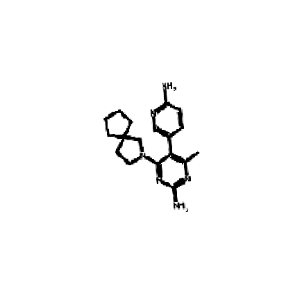 Cc1nc(N)nc(N2CCC3(CCCC3)C2)c1-c1ccc(N)nc1